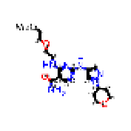 COCCOCCNc1nc(Nc2cnn(C3CCOCC3)c2)ncc1C(N)=O